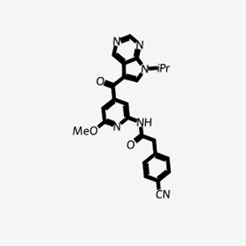 COc1cc(C(=O)c2cn(C(C)C)c3ncncc23)cc(NC(=O)Cc2ccc(C#N)cc2)n1